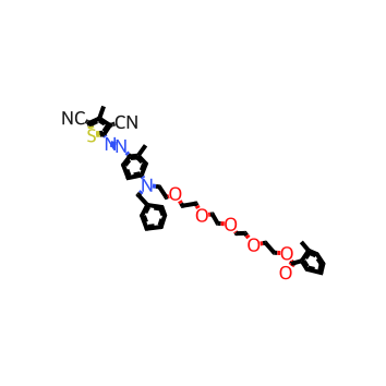 Cc1cc(N(CCOCCOCCOCCOCCOC(=O)c2ccccc2C)Cc2ccccc2)ccc1/N=N/c1sc(C#N)c(C)c1C#N